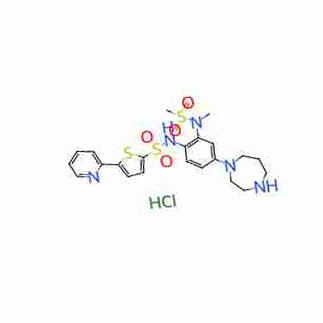 CN(c1cc(N2CCCNCC2)ccc1NS(=O)(=O)c1ccc(-c2ccccn2)s1)S(C)(=O)=O.Cl